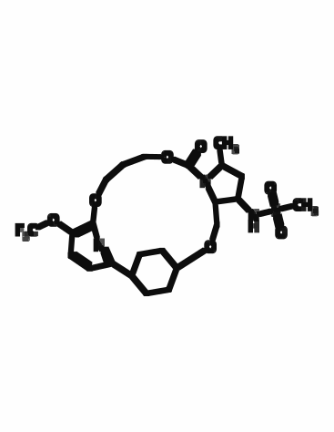 CC1CC(NS(C)(=O)=O)C2COC3CCC(CC3)c3ccc(OC(F)(F)F)c(n3)OCCCOC(=O)N12